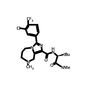 CNC(=O)[C@@H](NC(=O)c1nc(-c2ccc(C(F)(F)F)c(Cl)c2)n2c1CN(C)CCC2)C(C)(C)C